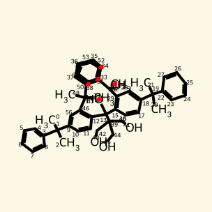 CC(C)(c1ccccc1)c1ccc(C(O)(c2ccc(C(C)(C)c3ccccc3)cc2C(C)(C)c2ccccc2)C(CO)(CO)CO)c(C(C)(C)c2ccccc2)c1